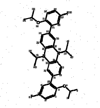 CC(C)Oc1ccc(F)cc1-c1ccc2c(c1)N(C(C)C)c1ccc(-c3cc(F)ccc3OC(C)C)cc1N2C(C)C